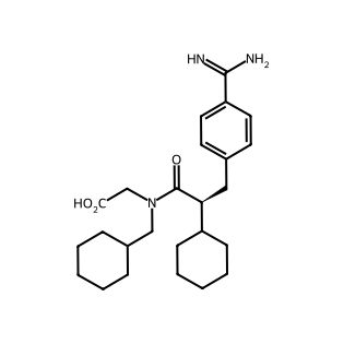 N=C(N)c1ccc(C[C@H](C(=O)N(CC(=O)O)CC2CCCCC2)C2CCCCC2)cc1